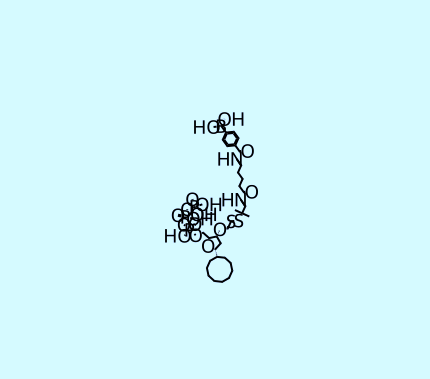 CC(C)(CNC(=O)CCCCNC(=O)c1ccc(B(O)O)cc1)SSCO[C@@H]1C[C@H](C2CCCCCCCCC2)OC1COP(=O)(O)OP(=O)(O)OP(=O)(O)O